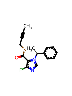 CC#CCSC(=O)c1c(F)ncn1[C@H](C)c1ccccc1